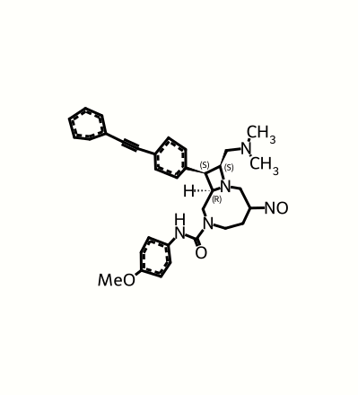 COc1ccc(NC(=O)N2CCC(N=O)CN3[C@H](CN(C)C)[C@H](c4ccc(C#Cc5ccccc5)cc4)[C@@H]3C2)cc1